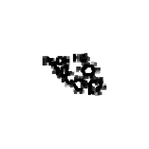 CC(C)[C@@H](O)Cn1cc(CN2CCN(c3nccnc3-c3ccc(F)cc3)CC2)cn1.Cl